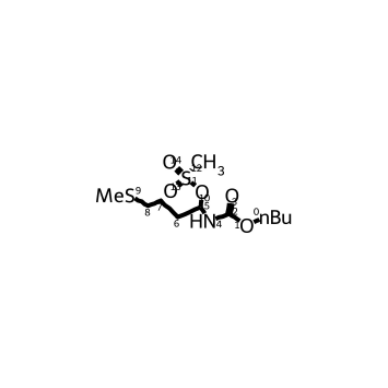 CCCCOC(=O)NC(CCCSC)OS(C)(=O)=O